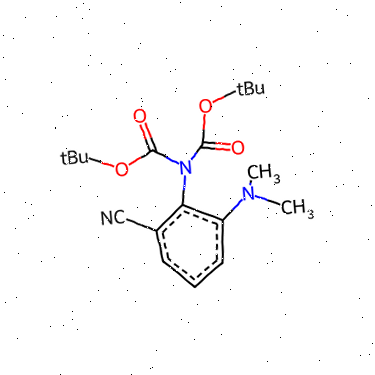 CN(C)c1cccc(C#N)c1N(C(=O)OC(C)(C)C)C(=O)OC(C)(C)C